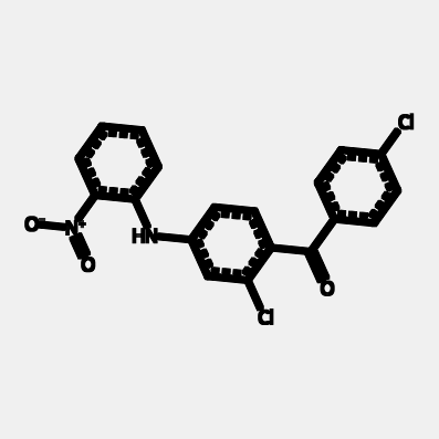 O=C(c1ccc(Cl)cc1)c1ccc(Nc2ccccc2[N+](=O)[O-])cc1Cl